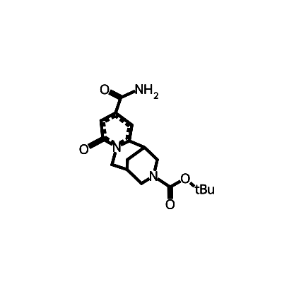 CC(C)(C)OC(=O)N1CC2CC(C1)c1cc(C(N)=O)cc(=O)n1C2